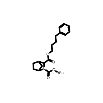 CC(C)(C)OC(=O)N1C2CCC(C2)C1C(=O)OCCCCc1ccccc1